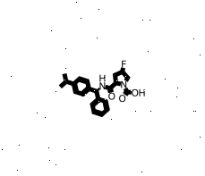 CC(C)c1ccc([C@@H](NC(=O)C2CC(F)CN2C(=O)O)c2ccccc2)cc1